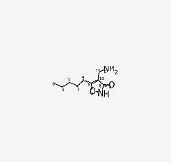 CCCCCc1o[nH]c(=O)c1CN